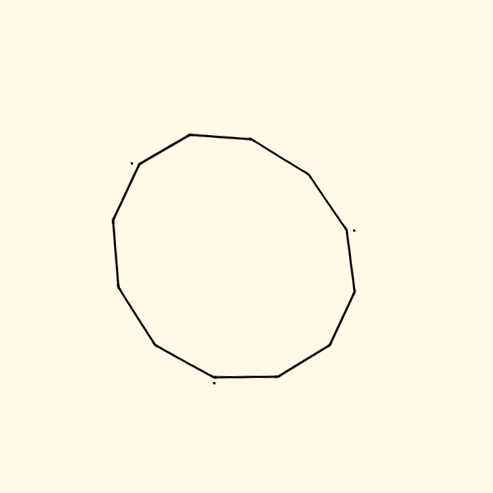 [CH]1CCC[CH]CCC[CH]CCC1